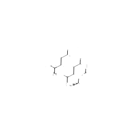 CC(C)[CH2][Sn+4][CH2]C(C)C.CC(CCCC(=O)[O-])C(=O)[O-].CC(CCCC(=O)[O-])C(=O)[O-]